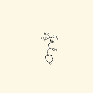 CC(C)(C)NCC(O)CN1CCOCC1